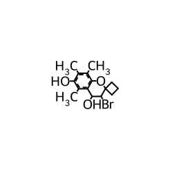 Cc1c(C)c2c(c(C)c1O)C(O)C(Br)C1(CCC1)O2